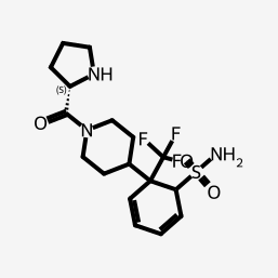 NS(=O)(=O)C1C=CC=CC1(C1CCN(C(=O)[C@@H]2CCCN2)CC1)C(F)(F)F